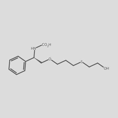 O=C(O)N[C@@H](COCCCSCCO)c1ccccc1